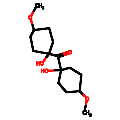 COC1CCC(O)(C(=O)C2(O)CCC(OC)CC2)CC1